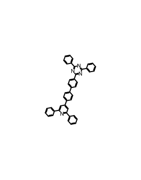 c1ccc(-c2cc(-c3ccc(-c4ccc(-c5nc(-c6ccccc6)nc(-c6ccccc6)n5)cc4)cc3)cc(-c3ccccc3)n2)cc1